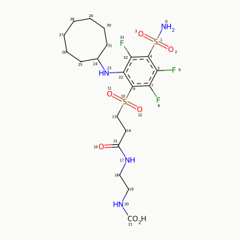 NS(=O)(=O)c1c(F)c(F)c(S(=O)(=O)CCC(=O)NCCNC(=O)O)c(NC2CCCCCCC2)c1F